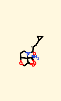 NC(=O)C12C(=O)COC1CCN2C(=O)[CH]CC1CC1